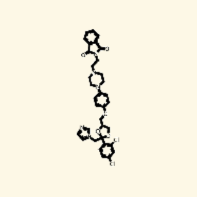 O=C1c2ccccc2C(=O)N1CCN1CCN(c2ccc(OCC3COC(Cn4ccnc4)(c4ccc(Cl)cc4Cl)O3)cc2)CC1